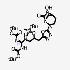 CC(C)(C)OC(=O)/N=C(\NCC(Cc1nnc([C@@H]2CCC3CN2C(=O)N3O)o1)O[Si](C)(C)C(C)(C)C)NC(=O)OC(C)(C)C